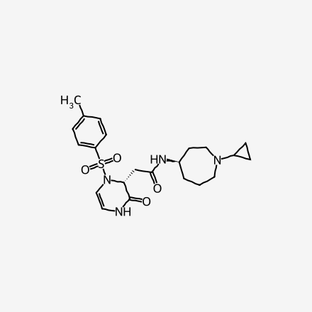 Cc1ccc(S(=O)(=O)N2C=CNC(=O)[C@H]2CC(=O)N[C@@H]2CCCN(C3CC3)CC2)cc1